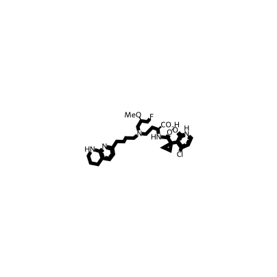 CO[C@H](CF)CN(CCCCc1ccc2c(n1)NCCC2)CC[C@H](NC(=O)C1(c2c(Cl)cc[nH]c2=O)CC1)C(=O)O